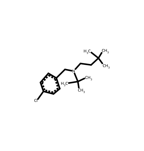 CC(C)(C)CCN(Cc1ccc(Cl)cc1)C(C)(C)C